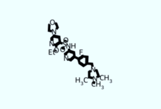 CCOc1ncc(N2CCOCC2)cc1S(=O)(=O)Nc1cncc(-c2ccc(CN3C[C@@H](C)N(C)[C@@H](C)C3)cc2F)c1